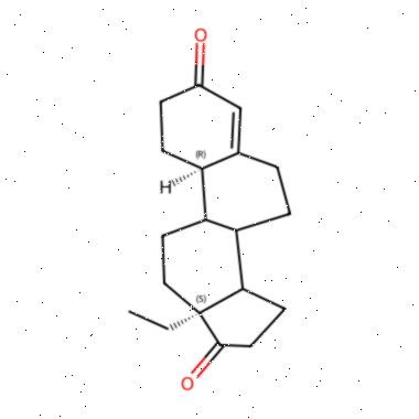 CC[C@]12CCC3C(CCC4=CC(=O)CC[C@@H]43)C1CCC2=O